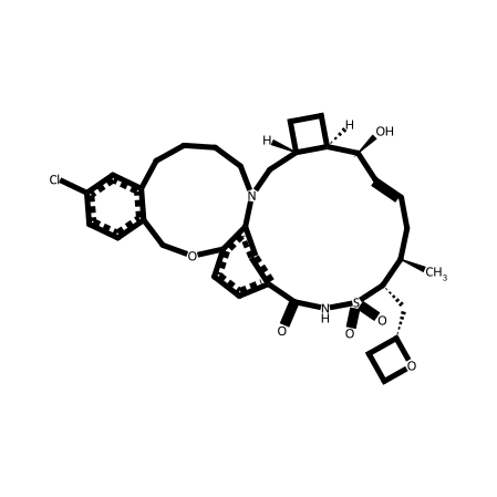 C[C@@H]1C/C=C/[C@H](O)[C@@H]2CC[C@H]2CN2CCCCc3cc(Cl)ccc3COc3ccc(cc32)C(=O)NS(=O)(=O)[C@H]1C[C@H]1CCO1